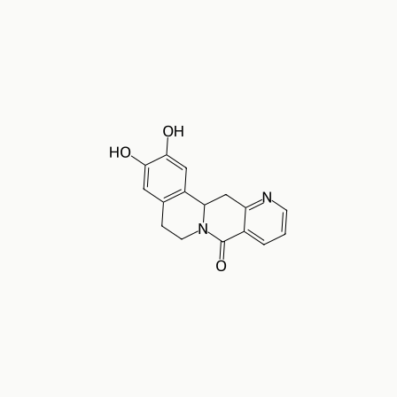 O=C1c2cccnc2CC2c3cc(O)c(O)cc3CCN12